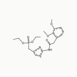 CCOP(=O)(Cc1csc(NC(=O)Cc2cccc(OC)c2OC)n1)OCC